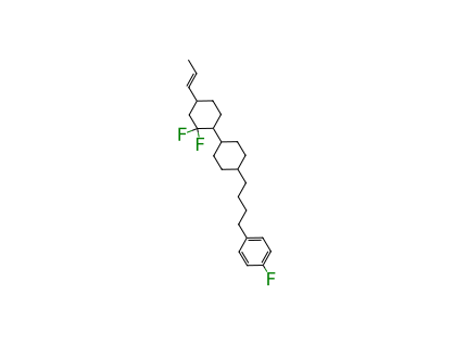 C/C=C/C1CCC(C2CCC(CCCCc3ccc(F)cc3)CC2)C(F)(F)C1